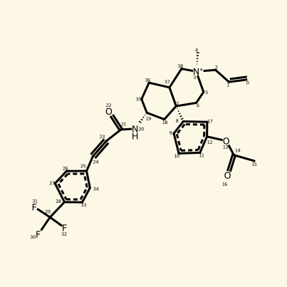 C=CC[N@@+]1(C)CC[C@@]2(c3cccc(OC(C)=O)c3)C[C@H](NC(=O)C#Cc3ccc(C(F)(F)F)cc3)CCC2C1